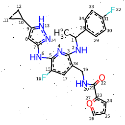 CC(Nc1nc(Nc2cc(C3CC3)[nH]n2)c(F)cc1CNC(=O)c1ccco1)c1ccc(F)cc1